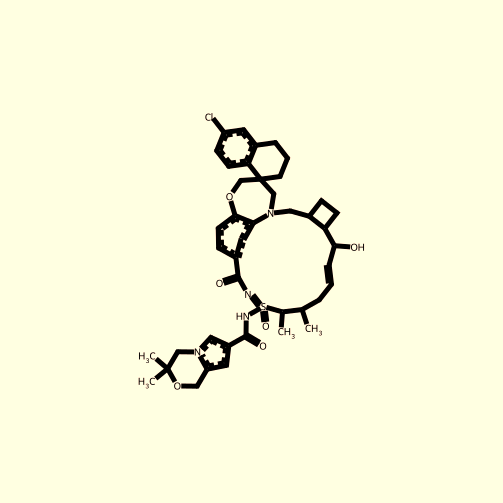 CC1C/C=C/C(O)C2CCC2CN2CC3(CCCc4cc(Cl)ccc43)COc3ccc(cc32)C(=O)N=S(=O)(NC(=O)c2cc3n(c2)CC(C)(C)OC3)C1C